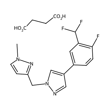 Cn1ccc(Cn2cc(-c3ccc(F)c(C(F)F)c3)cn2)n1.O=C(O)CCC(=O)O